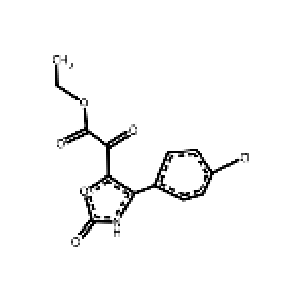 CCOC(=O)C(=O)c1oc(=O)[nH]c1-c1ccc(Cl)cc1